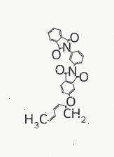 C=C(/C=C\C=C/C)Oc1ccc2c(c1)C(=O)N(c1cccc(N3C(=O)c4ccccc4C3=O)c1)C2=O